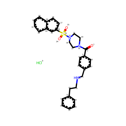 Cl.O=C(c1ccc(CNCCc2ccccc2)cc1)N1CCN(S(=O)(=O)c2ccc3ccccc3c2)CC1